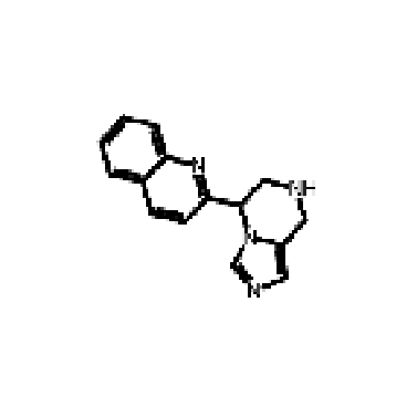 c1ccc2nc(C3CNCc4cncn43)ccc2c1